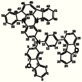 c1ccc2c(c1)oc1ccc(N(c3ccc(-c4cccc5oc6ccccc6c45)cc3)c3ccc4c(c3)n3c5ccccc5c5ccc6c7ccccc7n4c6c53)cc12